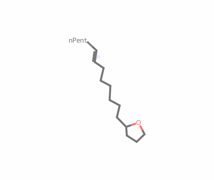 CCCCC/C=C/CCCCCCC1CCCO1